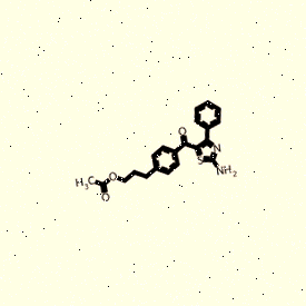 CC(=O)OCCCc1ccc(C(=O)c2sc(N)nc2-c2ccccc2)cc1